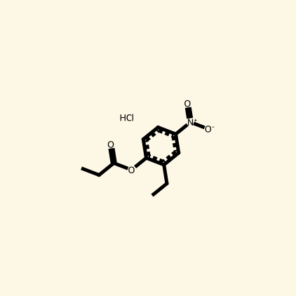 CCC(=O)Oc1ccc([N+](=O)[O-])cc1CC.Cl